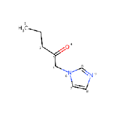 CCCC(=O)Cn1ccnc1